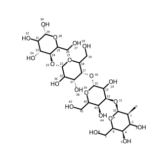 C[C@H]1C(O)[C@@H](O)C(CO)O[C@H]1O[C@@H]1C(O)[C@@H](O[C@H]2C(CO)O[C@@H](O[C@@H]3C(CO)O[C@@H](O)C(O)[C@H]3O)C(O)[C@H]2O)OC(CO)[C@@H]1O